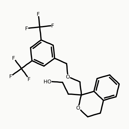 OCCC1(COCc2cc(C(F)(F)F)cc(C(F)(F)F)c2)OCCc2ccccc21